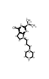 CN(C)c1nc(Cl)c2c(n1)N(CCCN1CCOCC1)CC2